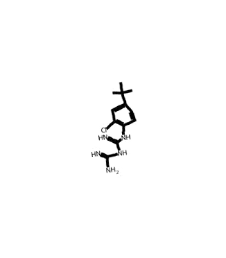 CC(C)(C)c1ccc(NC(=N)NC(=N)N)c(Cl)c1